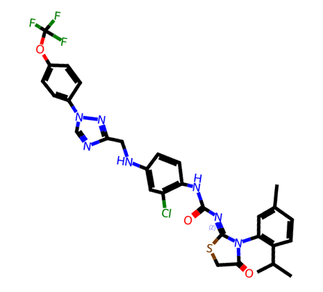 Cc1ccc(C(C)C)c(N2C(=O)CS/C2=N\C(=O)Nc2ccc(NCc3ncn(-c4ccc(OC(F)(F)F)cc4)n3)cc2Cl)c1